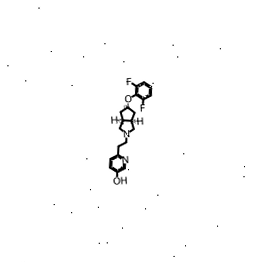 Oc1ccc(CCN2C[C@H]3C[C@H](Oc4c(F)cccc4F)C[C@H]3C2)nc1